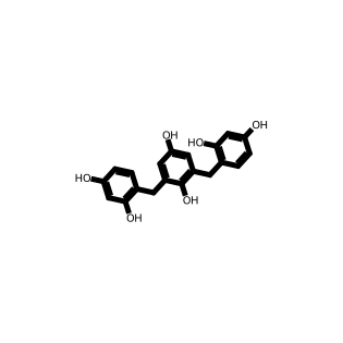 Oc1ccc(Cc2cc(O)cc(Cc3ccc(O)cc3O)c2O)c(O)c1